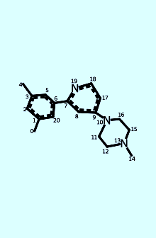 Cc1cc(C)cc(-c2cc(N3CCN(C)CC3)ccn2)c1